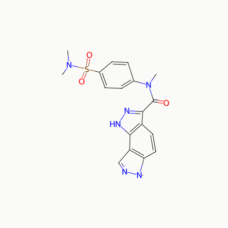 CN(C(=O)c1n[nH]c2c3c(ccc12)[N]N=C3)c1ccc(S(=O)(=O)N(C)C)cc1